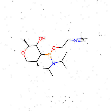 [C-]#[N+]CCO[P@](C1C(O)[C@H](C)OC[C@@H]1C)N(C(C)C)C(C)C